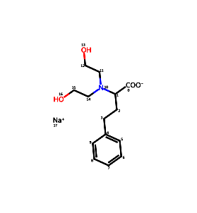 O=C([O-])C(CCc1ccccc1)N(CCO)CCO.[Na+]